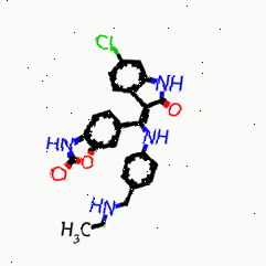 CCNCc1ccc(N/C(=C2\C(=O)Nc3cc(Cl)ccc32)c2ccc3[nH]c(=O)oc3c2)cc1